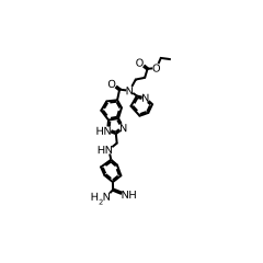 CCOC(=O)CCN(C(=O)c1ccc2[nH]c(CNc3ccc(C(=N)N)cc3)nc2c1)c1ccccn1